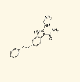 NCNc1[nH]c2cc(CCc3ccccc3)ccc2c1C(N)=O